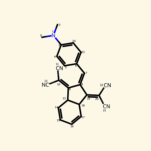 CN(C)c1ccc(C=C2C(=C(C#N)C#N)C3C=CC=CC3C2=C(C#N)C#N)cc1